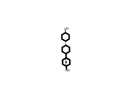 CCCC12CCC(C3CCC([C@H]4CC[C@H](CCC)CC4)CC3)(CC1)CC2